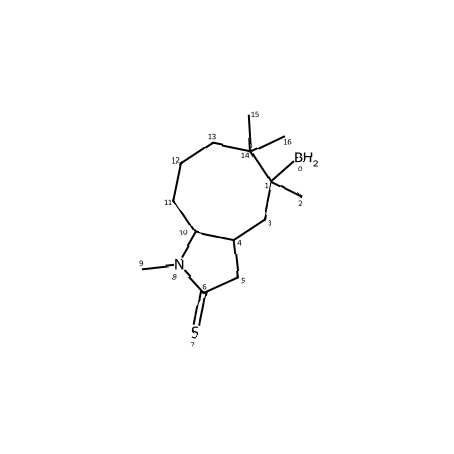 BC1(C)CC2CC(=S)N(C)C2CCCC1(C)C